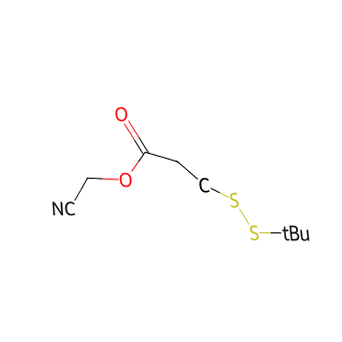 CC(C)(C)SSCCC(=O)OCC#N